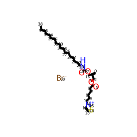 C=C(COC(=O)CCCCC[n+]1ccsc1)COC(=O)NCCCCCCCCCCCCCCCCCC.[Br-]